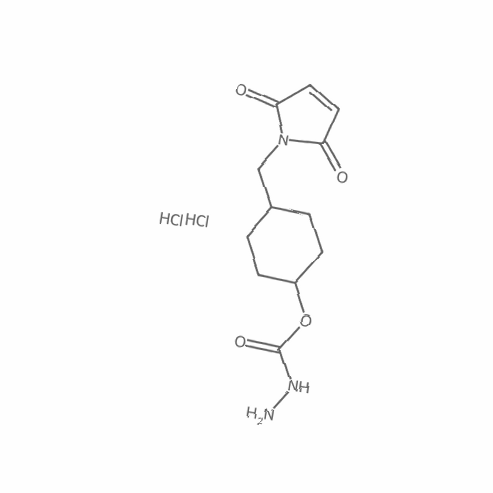 Cl.Cl.NNC(=O)OC1CCC(CN2C(=O)C=CC2=O)CC1